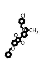 Cc1cn(Cc2ccc(Cl)cc2)c2cc(C3C(=O)c4ccc(OCc5ccccc5)cc4C3=O)ccc12